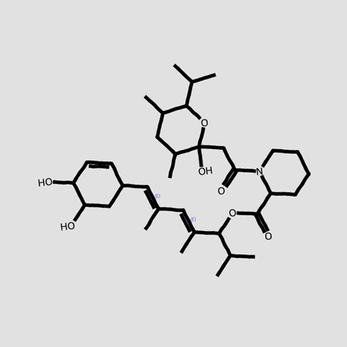 CC(=C\C1C=CC(O)C(O)C1)/C=C(\C)C(OC(=O)C1CCCCN1C(=O)CC1(O)OC(C(C)C)C(C)CC1C)C(C)C